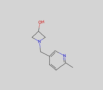 Cc1ccc(CN2CC(O)C2)cn1